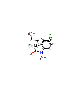 CCC1(CCO)C(=O)N(S)c2ccc(Cl)cc21